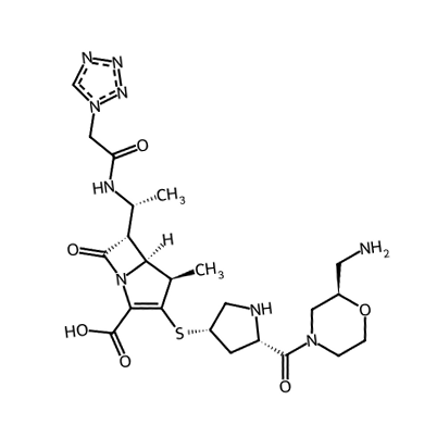 C[C@@H](NC(=O)Cn1cnnn1)[C@H]1C(=O)N2C(C(=O)O)=C(S[C@@H]3CN[C@H](C(=O)N4CCO[C@H](CN)C4)C3)[C@H](C)[C@H]12